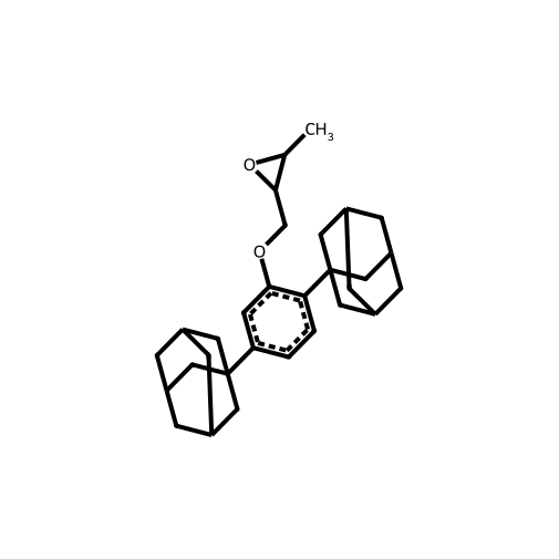 CC1OC1COc1cc(C23CC4CC(CC(C4)C2)C3)ccc1C12CC3CC(CC(C3)C1)C2